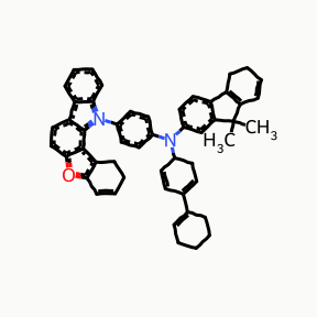 CC1(C)C2=C(CCC=C2)c2ccc(N(c3ccc(-n4c5ccccc5c5ccc6oc7c(c6c54)CCC=C7)cc3)C3C=CC(C4=CCCCC4)=CC3)cc21